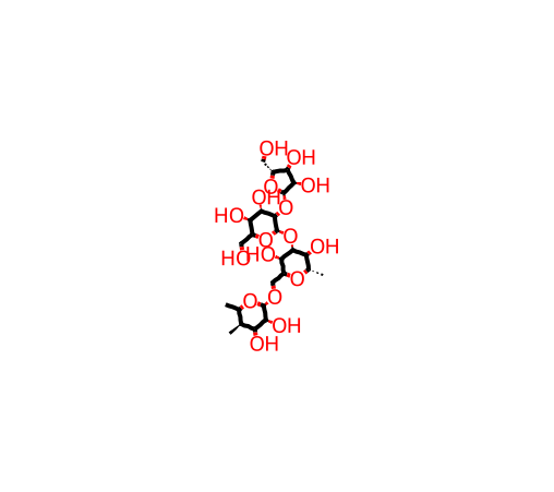 CC1O[C@@H](OCC2O[C@@H](C)C(O)[C@@H](O[C@H]3OC(CO)[C@@H](O)[C@H](O)C3O[C@H]3O[C@H](CO)C(O)[C@H]3O)[C@@H]2O)[C@@H](O)C(O)[C@H]1C